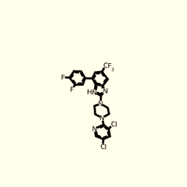 Fc1ccc(-c2cc(C(F)(F)F)cc3nc(N4CCN(c5ncc(Cl)cc5Cl)CC4)[nH]c23)cc1F